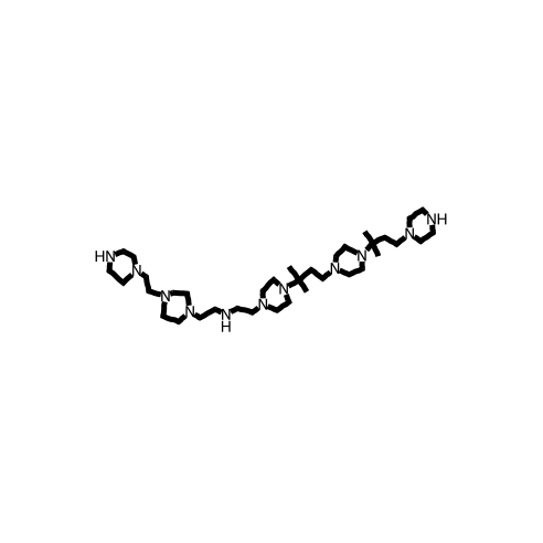 CC(C)(CCN1CCNCC1)N1CCN(CCC(C)(C)N2CCN(CCNCCN3CCN(CCN4CCNCC4)CC3)CC2)CC1